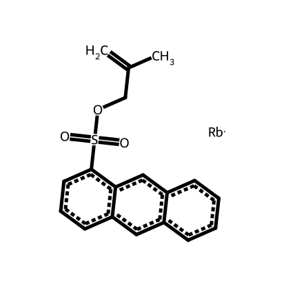 C=C(C)COS(=O)(=O)c1cccc2cc3ccccc3cc12.[Rb]